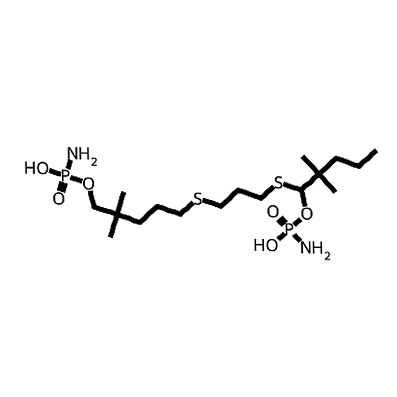 CCCC(C)(C)C(OP(N)(=O)O)SCCCSCCCC(C)(C)COP(N)(=O)O